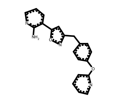 Nc1ncccc1-c1cc(Cc2ccc(Oc3ccccn3)cc2)no1